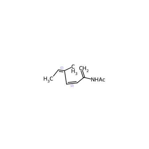 C=C(/C=C\C(C)=C/C)NC(C)=O